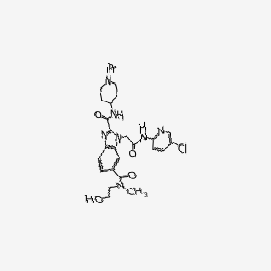 CC(C)N1CCC(NC(=O)c2nc3ccc(C(=O)N(C)CCO)cc3n2CC(=O)Nc2ccc(Cl)cn2)CC1